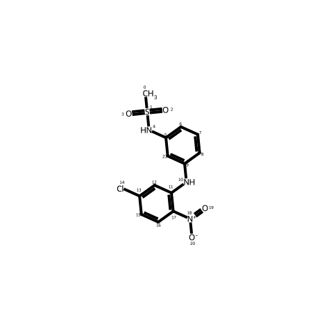 CS(=O)(=O)Nc1cccc(Nc2cc(Cl)ccc2[N+](=O)[O-])c1